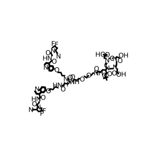 CC(C)(C)OC(=O)C(CCC(=O)NCCOCCOCCC(=O)N[C@@H](CCC(=O)NCCCCOc1ccc2nccc(C(=O)NCC(=O)N3CC(F)(F)CC3C#N)c2c1)C(=O)NCCCCOc1ccc2nccc(C(=O)NCC(=O)N3CC(F)(F)CC3C#N)c2c1)N1CCN(CC(=O)O)CCN(CC(=O)O)CCN(CC(=O)O)CC1